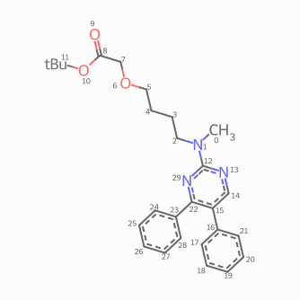 CN(CCCCOCC(=O)OC(C)(C)C)c1ncc(-c2ccccc2)c(-c2ccccc2)n1